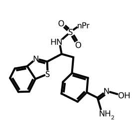 CCCS(=O)(=O)NC(Cc1cccc(C(N)=NO)c1)c1nc2ccccc2s1